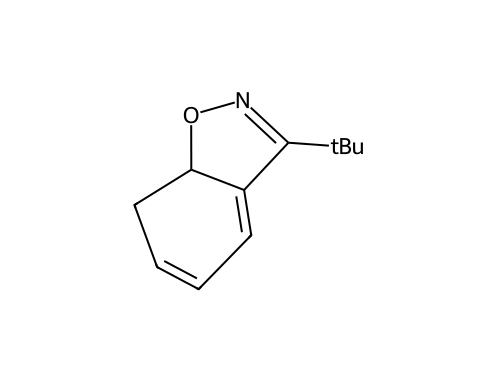 CC(C)(C)C1=NOC2CC=CC=C12